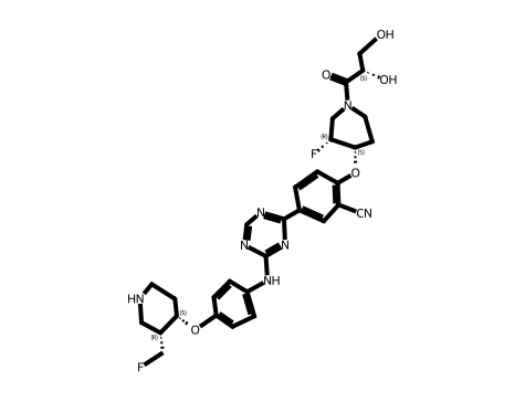 N#Cc1cc(-c2ncnc(Nc3ccc(O[C@H]4CCNC[C@H]4CF)cc3)n2)ccc1O[C@H]1CCN(C(=O)[C@@H](O)CO)C[C@H]1F